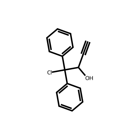 C#CC(O)C(Cl)(c1ccccc1)c1ccccc1